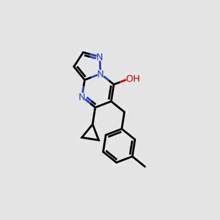 Cc1cccc(Cc2c(C3CC3)nc3ccnn3c2O)c1